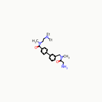 CCN(CC)CCN(C)C(=O)c1ccc(-c2cccc(CN(C)C(=O)CN)c2)cc1